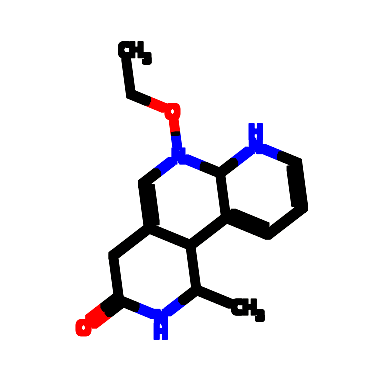 CCON1C=C2CC(=O)NC(C)C2C2=CC=CNC21